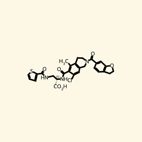 Cc1c2c(cc(Cl)c1C(=O)N[C@@H](CNC(=O)c1cccs1)C(=O)O)CN(C(=O)c1ccc3c(c1)OCC3)CC2